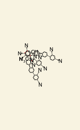 Cc1cc(C)nc(-c2c(-n3c4cc(-c5ccc(C#N)cc5C#N)ccc4c4ccc(-c5ccc(C#N)cc5C#N)cc43)cc(C#N)cc2-n2c3cc(-c4ccc(C#N)cc4C#N)ccc3c3ccc(-c4ccc(C#N)cc4C#N)cc32)n1